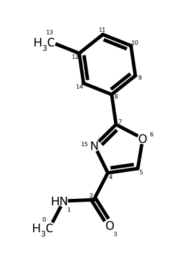 CNC(=O)c1coc(-c2cccc(C)c2)n1